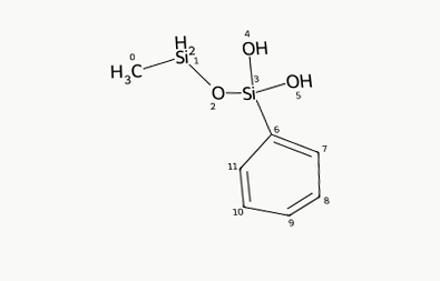 C[SiH2]O[Si](O)(O)c1ccccc1